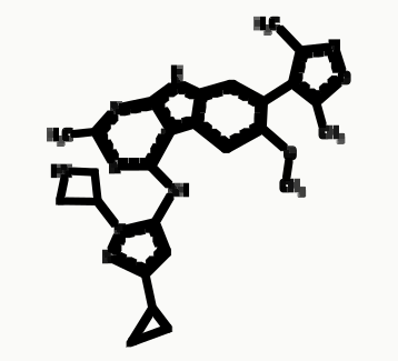 COc1cc2c(cc1-c1c(C)noc1C)[nH]c1nc(C)nc(Nc3cc(C4CC4)nn3C3CNC3)c12